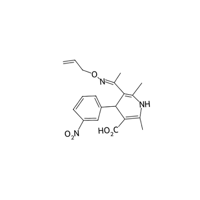 C=CCON=C(C)C1=C(C)NC(C)=C(C(=O)O)C1c1cccc([N+](=O)[O-])c1